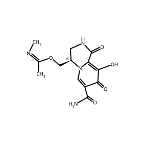 C/N=C(/C)OC[C@H]1CNC(=O)c2c(O)c(=O)c(C(N)=O)cn21